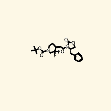 CC(C)(C)OC(=O)N1CCC(=CC(=O)N2C(=O)OC[C@H]2Cc2ccccc2)C(F)(F)C1